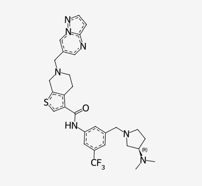 CN(C)[C@@H]1CCN(Cc2cc(NC(=O)c3csc4c3CCN(Cc3cnc5ccnn5c3)C4)cc(C(F)(F)F)c2)C1